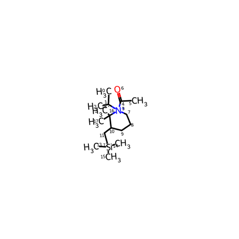 C[C](C)[N+]1(C(C)=O)CCCC(C[Si](C)(C)C)C1(C)C